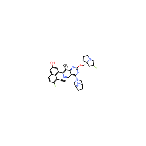 C#Cc1c(F)ccc2cc(O)cc(-c3ncc4c(N5CC6CCC(C5)N6)nc(OC[C@]56CCCN5C[C@@H](F)C6)nc4c3C(F)(F)F)c12